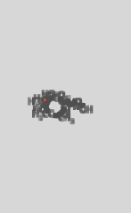 CCC1C(=O)C(C)(C)C(O)CC(=O)O[C@H](C(F)=Cc2coc(CO)n2)C[C@@H]2O[C@]2(C)CCC[C@H](C)C1O